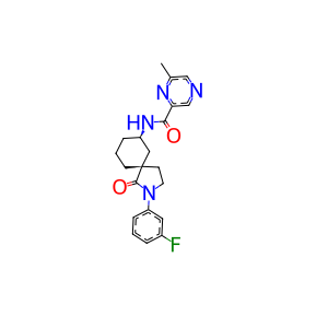 Cc1cncc(C(=O)N[C@@H]2CCC[C@]3(CCN(c4cccc(F)c4)C3=O)C2)n1